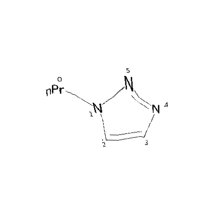 CCCn1[c]cnn1